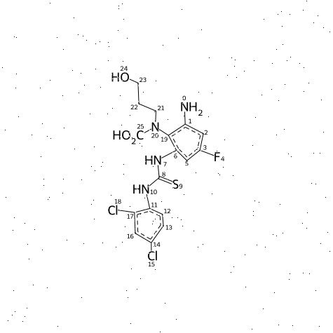 Nc1cc(F)cc(NC(=S)Nc2ccc(Cl)cc2Cl)c1N(CCCO)C(=O)O